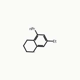 CCCc1cc(CC)cc2c1CCC[C]2